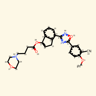 CC(C)Oc1ccc(-c2nc(-c3cccc4c3CC=C4OC(=O)CCCN3CCOCC3)no2)cc1C#N